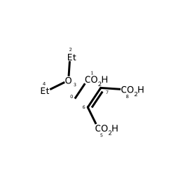 CC(=O)O.CCOCC.O=C(O)/C=C\C(=O)O